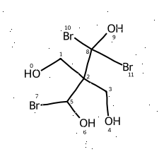 OCC(CO)(C(O)Br)C(O)(Br)Br